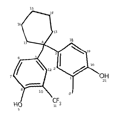 Cc1cc(C2(c3ccc(O)c(C(F)(F)F)c3)CCCCC2)ccc1O